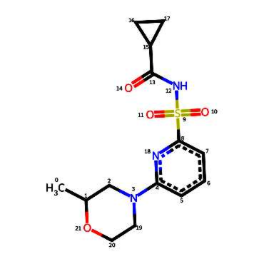 CC1CN(c2cccc(S(=O)(=O)NC(=O)C3CC3)n2)CCO1